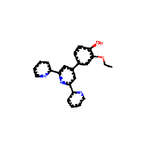 CCOc1cc(-c2cc(-c3ccccn3)nc(-c3ccccn3)c2)ccc1O